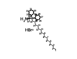 Br.CCCCCCCCCCCCCCCCC(c1ccccc1)(c1ccccc1)C(C)(C)N